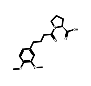 COc1ccc(CCCC(=O)N2CCC[C@H]2C(=O)O)cc1OC